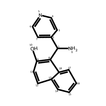 NC(c1ccncc1)c1c(O)ccc2ccccc12